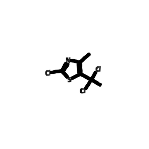 Cc1nc(Cl)sc1C(C)(Cl)Cl